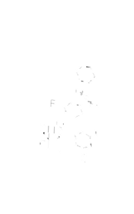 CN(C)[C@H]1Cc2c(Cl)cc(Cl)cc2[C@@H]1Oc1ccc(S(=O)(=O)Cc2ccccc2)cc1F